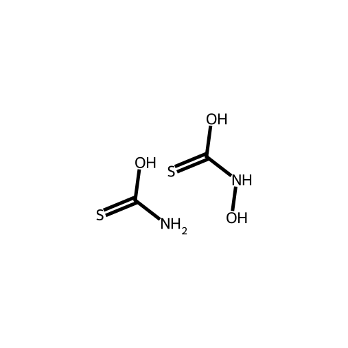 NC(O)=S.ONC(O)=S